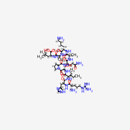 CC[C@H](C)[C@H](NC(=O)[C@H](Cc1c[nH]cn1)NC(=O)[C@@H](N)CCCNC(=N)N)C(=O)N[C@@H](CO)C(=O)N1CCC[C@H]1C(=O)N[C@@H](CCC(N)=O)C(=O)N[C@@H](C)C(=O)N[C@@H](CCCCN)C(=O)N[C@@H](C)C(=O)N[C@@H](CC(C)C)C(=O)O